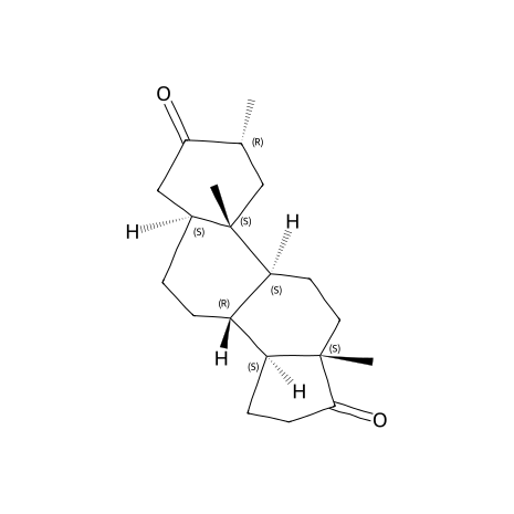 C[C@@H]1C[C@@]2(C)[C@@H](CC[C@@H]3[C@@H]2CC[C@]2(C)C(=O)CC[C@@H]32)CC1=O